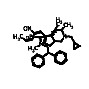 C/C=C\C(=C/C1=CCC2CN(CC3CC3)C(C)C3(C)CCC(C(CCC)N(C)CC(c4ccccc4)c4ccccc4)C123)N=O